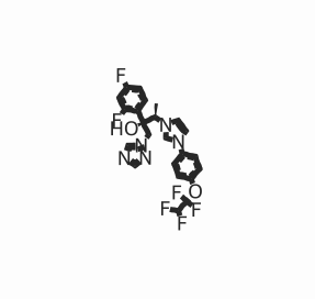 C[C@@H](N1C=CN(c2ccc(OC(F)(F)C(F)F)cc2)C1)[C@](O)(Cn1cncn1)c1ccc(F)cc1F